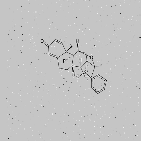 C[C@]12C=CC(=O)C=C1CC[C@H]1[C@@H]3CC[C@]4(C)O[C@@H](C[C@]34[S+]([O-])c3ccccc3)[C@@]12F